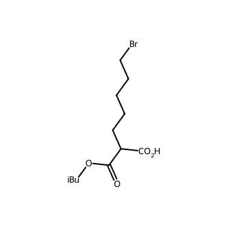 CCC(C)OC(=O)C(CCCCCBr)C(=O)O